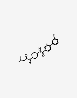 CN(C)CC(=O)N[C@H]1CC[C@@H](NC(=O)c2ccc(-c3cccc(F)c3)nc2)CC1